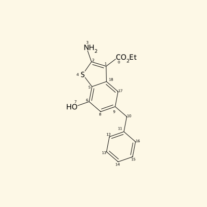 CCOC(=O)c1c(N)sc2c(O)cc(Cc3ccccc3)cc12